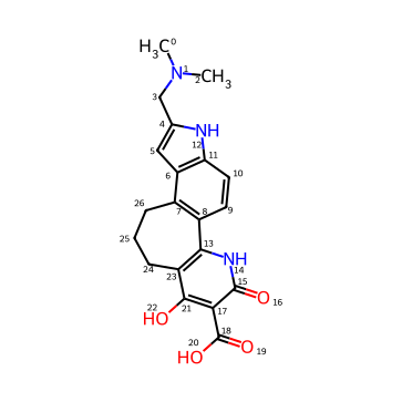 CN(C)Cc1cc2c3c(ccc2[nH]1)-c1[nH]c(=O)c(C(=O)O)c(O)c1CCC3